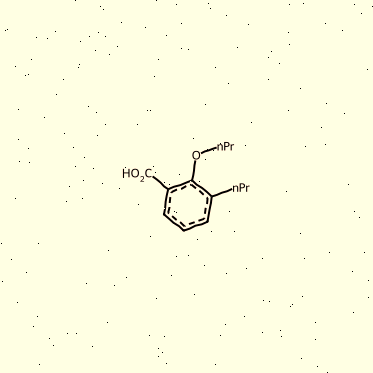 CCCOc1c(CCC)cccc1C(=O)O